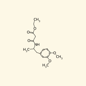 CCOC(=O)CC(=O)NC(C)Cc1ccc(OC)c(OC)c1